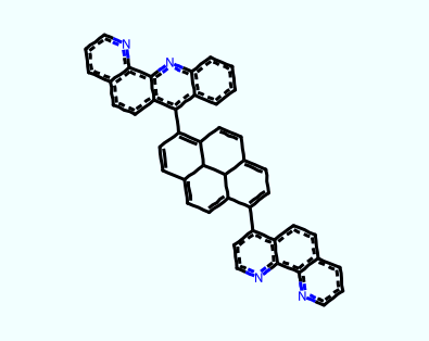 C1=CC2=C(c3c4ccccc4nc4c3ccc3cccnc34)C=CC3=CC=C4C(c5ccnc6c5ccc5cccnc56)=CC=C1C4C32